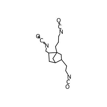 O=C=NCCCC12CC(CCN=C=O)C(CC1CN=C=O)C2